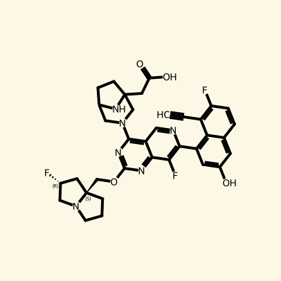 C#Cc1c(F)ccc2cc(O)cc(-c3ncc4c(N5CC6CCC(CC(=O)O)(C5)N6)nc(OC[C@@]56CCCN5C[C@H](F)C6)nc4c3F)c12